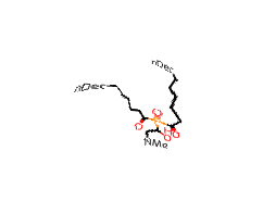 CCCCCCCCCCCCCCCC(=O)P(=O)(C(=O)CCCCCCCCCCCCCCC)C(O)CNC